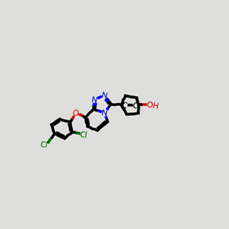 OC12CCC(c3nnc4c(Oc5ccc(Cl)cc5Cl)cccn34)(CC1)CC2